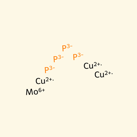 [Cu+2].[Cu+2].[Cu+2].[Mo+6].[P-3].[P-3].[P-3].[P-3]